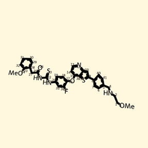 COCCNCc1ccc(-c2cc3nccc(Oc4ccc(NC(=S)NC(=O)Cc5ccccc5OC)cc4F)c3s2)cc1